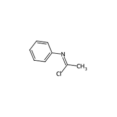 CC(Cl)=Nc1ccccc1